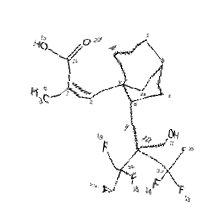 CC(=CC12CCC(CC1CC(O)(C(F)(F)F)C(F)(F)F)C2)C(=O)O